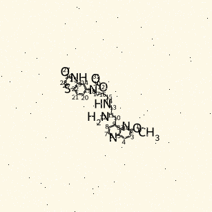 COc1ccc2nccc(CC(N)CNCC3CN(c4ccc5c(c4)NC(=O)CS5)C(=O)O3)c2n1